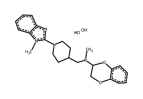 CN(CC1CCN(c2nc3ccccc3n2C)CC1)C1COc2ccccc2O1.Cl.Cl